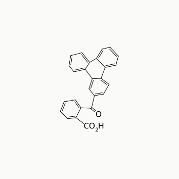 O=C(O)c1ccccc1C(=O)c1ccc2c3ccccc3c3ccccc3c2c1